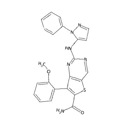 COc1ccccc1-c1c(C(N)=O)sc2cnc(Nc3ccnn3-c3ccccc3)nc12